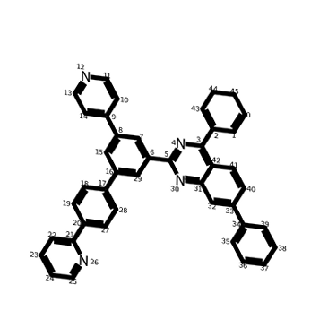 C1=CC(c2nc(-c3cc(-c4ccncc4)cc(-c4ccc(-c5ccccn5)cc4)c3)nc3cc(-c4ccccc4)ccc23)=CCC1